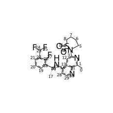 Cc1nc(N2CCCCS2(=O)=O)cc2c(N[C@H](C)c3cccc(C(F)F)c3F)ccnc12